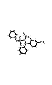 Cc1ccc2c(c1)OC(=O)C(S(=O)(=O)Cc1ccccc1)C2c1ccccc1